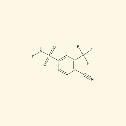 N#Cc1ccc(S(=O)(=O)NI)cc1C(F)(F)F